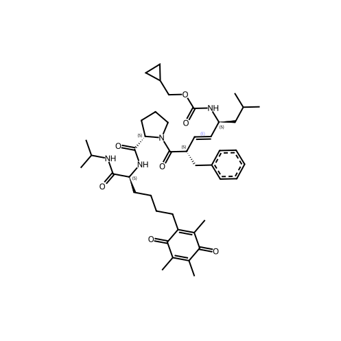 CC1=C(C)C(=O)C(CCCC[C@H](NC(=O)[C@@H]2CCCN2C(=O)[C@H](/C=C/[C@H](CC(C)C)NC(=O)OCC2CC2)Cc2ccccc2)C(=O)NC(C)C)=C(C)C1=O